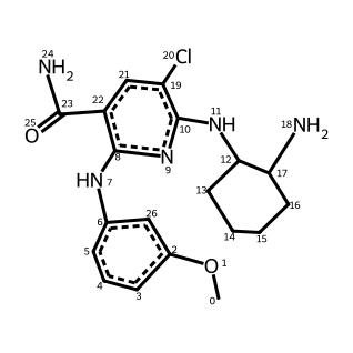 COc1cccc(Nc2nc(NC3CCCCC3N)c(Cl)cc2C(N)=O)c1